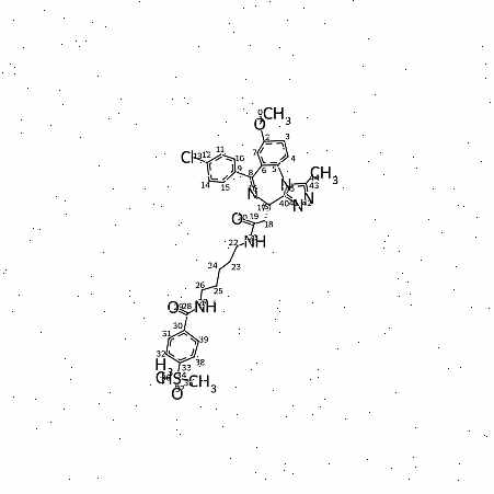 COc1ccc2c(c1)C(c1ccc(Cl)cc1)=N[C@@H](CC(=O)NCCCCCNC(=O)c1ccc([SH](C)(C)=O)cc1)c1nnc(C)n1-2